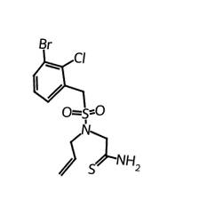 C=CCN(CC(N)=S)S(=O)(=O)Cc1cccc(Br)c1Cl